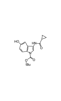 CC(C)(C)OC(=O)n1cc(NC(=O)C2CC2)c2cc(O)ccc21